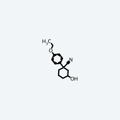 CCOc1ccc(C2(C#N)CCCC(O)C2)cc1